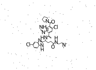 C=C(NC(CCC(=O)NCCN(C)C)c1nc2cc(Cl)ccc2[nH]1)c1cc(Cl)c(C(=O)N2CCCC2)cc1/N=C\N